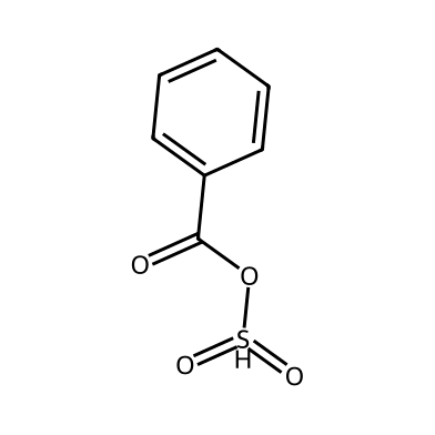 O=C(O[SH](=O)=O)c1ccccc1